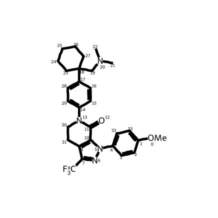 COc1ccc(-n2nc(C(F)(F)F)c3c2C(=O)N(c2ccc(C4(CN(C)C)CCCCC4)cc2)CC3)cc1